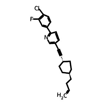 C=CCC[C@H]1CC[C@H](C#Cc2ccc(-c3ccc(Cl)c(F)c3)nc2)CC1